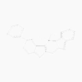 CC1(C)C2=C(C=C3C=CC(c4ccccc4)C=C32)C=C2N=c3ccccc3=C21